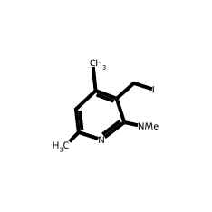 CNc1nc(C)cc(C)c1CI